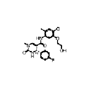 Cc1cc(Cl)c(OCCO)cc1NC(=O)C1=CN(C)C(=O)N[C@H]1c1ccc(F)cc1